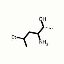 CC[C@H](C)CC(N)[C@@H](C)O